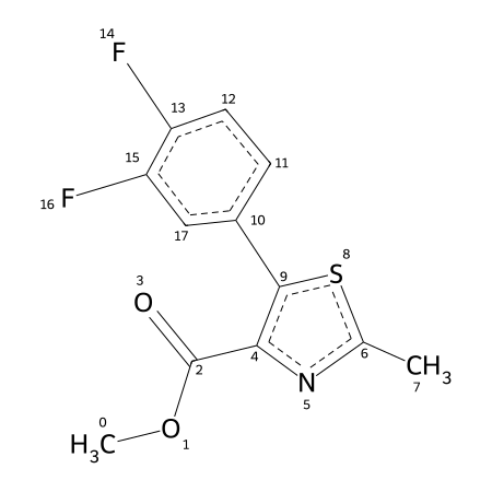 COC(=O)c1nc(C)sc1-c1ccc(F)c(F)c1